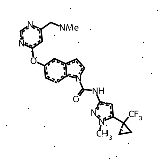 CNCc1cc(Oc2ccc3c(ccn3C(=O)Nc3cc(C4(C(F)(F)F)CC4)n(C)n3)c2)ncn1